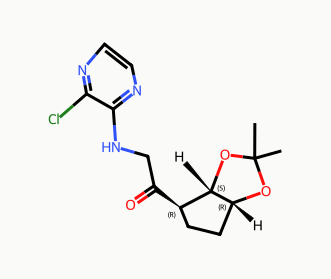 CC1(C)O[C@@H]2[C@@H](CC[C@H]2C(=O)CNc2nccnc2Cl)O1